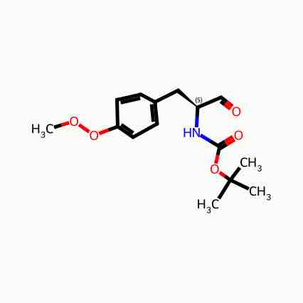 COOc1ccc(C[C@@H](C=O)NC(=O)OC(C)(C)C)cc1